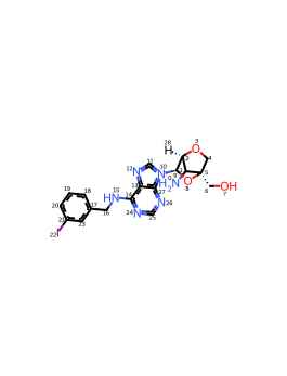 NC1[C@@H]2OC[C@@]1(CO)O[C@H]2n1cnc2c(NCc3cccc(I)c3)ncnc21